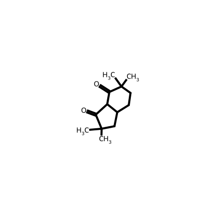 CC1(C)CCC2CC(C)(C)C(=O)C2C1=O